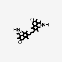 CC1=C(C(C)N=N)c2c(C)c(C)c(CCCc3c(C)c(C)c4c(c3C)CC(=O)C(C)=C4C(C)N=N)c(C)c2CC1=O